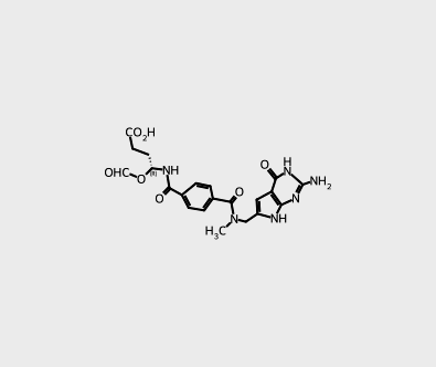 CN(Cc1cc2c(=O)[nH]c(N)nc2[nH]1)C(=O)c1ccc(C(=O)N[C@@H](CCC(=O)O)OC=O)cc1